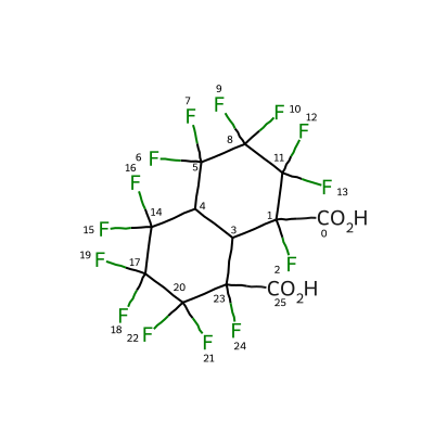 O=C(O)C1(F)C2C(C(F)(F)C(F)(F)C1(F)F)C(F)(F)C(F)(F)C(F)(F)C2(F)C(=O)O